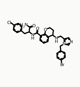 NC(=O)C(Cc1ccc(Cl)cc1)NC(=O)c1cccc2c1OCCC2NCc1cncn1Cc1ccc(Br)cc1